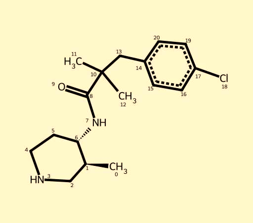 C[C@H]1CNCC[C@@H]1NC(=O)C(C)(C)Cc1ccc(Cl)cc1